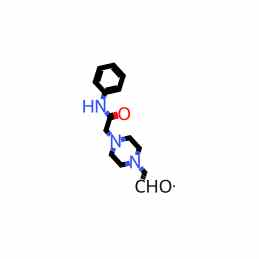 O=[C]CN1CCN(CC(=O)Nc2ccccc2)CC1